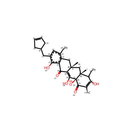 CC(=O)C1=C(O)C(C(C)C)[C@@]2(C)C[C@@]3(C)Cc4c(C(C)C)cc(CC5CC=CC5)c(O)c4C(=O)C3=C(O)[C@@]2(O)C1=O